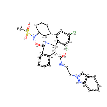 CS(=O)(=O)NC1CCCC[C@@H]1N1C(=O)c2ccccc2[C@@H](C(=O)NCCn2cc3ccccc3n2)[C@@H]1c1ccc(Cl)cc1Cl